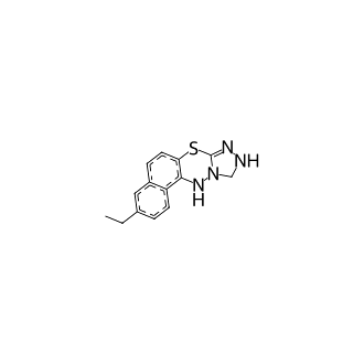 CCc1ccc2c3c(ccc2c1)SC1=NNCN1N3